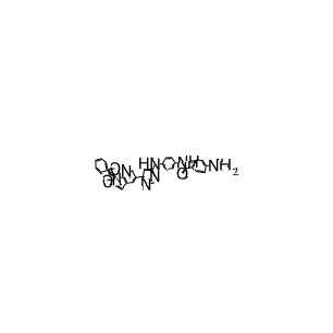 Nc1ccc(C(=O)Nc2ccc(Nc3cc(-c4cnc5c(ccn5S(=O)(=O)c5ccccc5)c4)ncn3)cc2)cc1